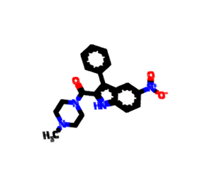 CN1CCN(C(=O)c2[nH]c3ccc([N+](=O)[O-])cc3c2-c2ccccc2)CC1